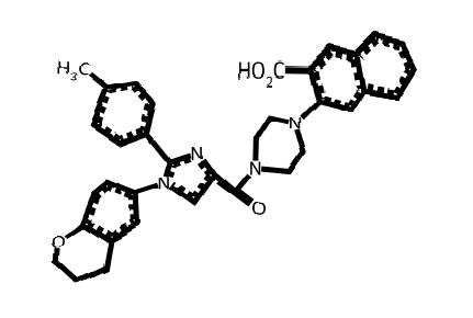 Cc1ccc(-c2nc(C(=O)N3CCN(c4cc5ccccc5cc4C(=O)O)CC3)cn2-c2ccc3c(c2)CCCO3)cc1